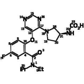 CCN(C(=O)c1cc(F)ccc1Oc1cncnc1N1CC[C@H](NC(=O)O)C1)C(C)C